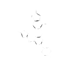 Cc1cc(Nc2cc(N3CCN(C)CC3)nc(Oc3ccc4[nH]c(C)cc4c3F)n2)n[nH]1